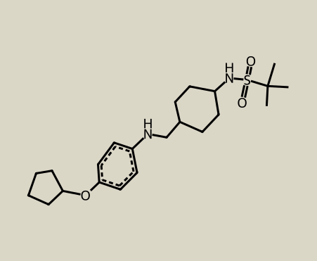 CC(C)(C)S(=O)(=O)NC1CCC(CNc2ccc(OC3CCCC3)cc2)CC1